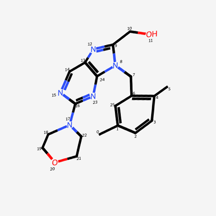 Cc1ccc(C)c(Cn2c(CO)nc3cnc(N4CCOCC4)nc32)c1